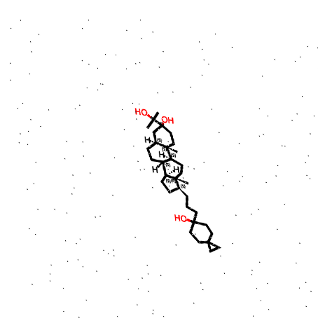 CC(C)(O)[C@]1(O)CC[C@@]2(C)[C@@H](CC[C@@H]3[C@@H]2CC[C@]2(C)[C@@H](CCCC4(O)CCC5(CC4)CC5)CC[C@@H]32)C1